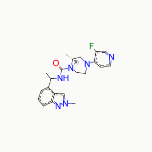 CC(NC(=O)N1CCN(c2ccncc2F)C[C@H]1C)c1cccc2nn(C)cc12